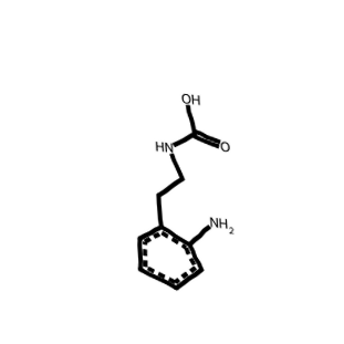 Nc1ccccc1CCNC(=O)O